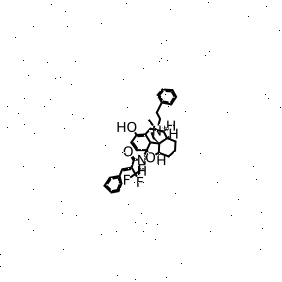 C[N+]1(CCc2ccccc2)CC[C@]23C4C5=C(O)C=CC4(NC(=O)C(=Cc4ccccc4)C(F)(F)F)O[C@H]2CCC[C@H]3[C@H]1C5